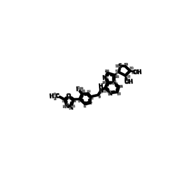 Cc1nnc(-c2ccc(CNc3nccn4c([C@@H]5SC[C@@H](O)[C@H]5O)cnc34)cc2F)o1